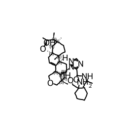 CC(C)NC(=O)c1ncnn1[C@@H]1C[C@@]23COC[C@](C)([C@@H]2CC[C@H]2C3=CC[C@@]3(C)[C@H](C(=O)O)[C@@](C)([C@H](C)C(C)C)CC[C@]23C)[C@H]1OCC1(N)CCCCC1